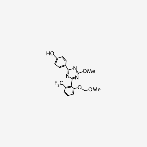 COCOc1cccc(C(F)(F)F)c1-c1nc(OC)nc(-c2ccc(O)cc2)n1